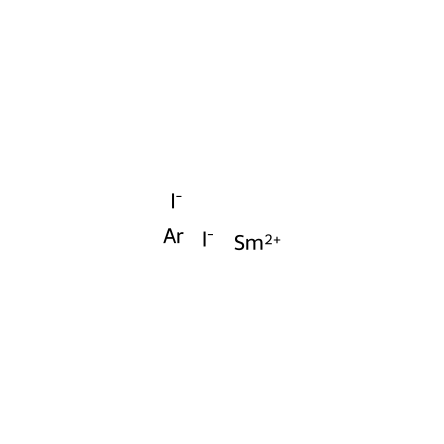 [Ar].[I-].[I-].[Sm+2]